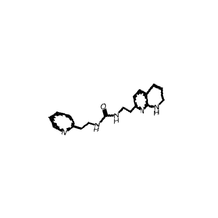 O=C(NCCc1ccccn1)NCCc1ccc2c(n1)NCCC2